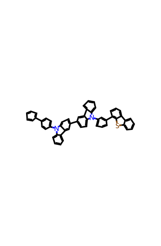 c1ccc(-c2ccc(-n3c4ccccc4c4cc(-c5ccc6c(c5)c5ccccc5n6-c5cccc(-c6cccc7c6sc6ccccc67)c5)ccc43)cc2)cc1